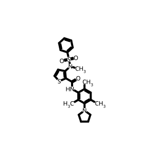 Cc1cc(C)c(N2CCCC2)c(C)c1NC(=O)c1sccc1N(C)S(=O)(=O)c1ccccc1